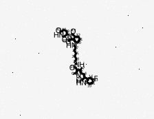 Cc1[nH]c(/C=C2\C(=O)Nc3ccc(F)cc32)c(C)c1C(=O)NCCCCCCNc1cccc2c1C(=O)N(C1CCC(=O)NC1=O)C2=O